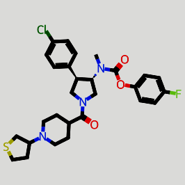 CN(C(=O)Oc1ccc(F)cc1)[C@@H]1CN(C(=O)C2CCN(C3CCSC3)CC2)C[C@H]1c1ccc(Cl)cc1